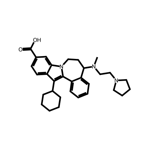 CN(CCN1CCCC1)C1CCn2c(c(C3CCCCC3)c3ccc(C(=O)O)cc32)-c2ccccc21